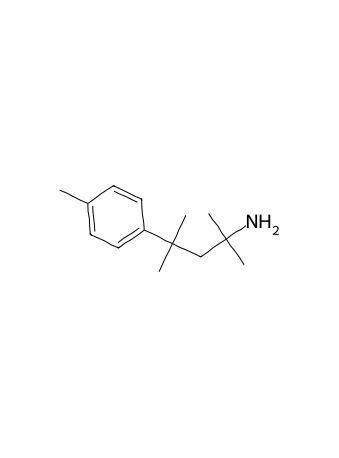 Cc1ccc(C(C)(C)CC(C)(C)N)cc1